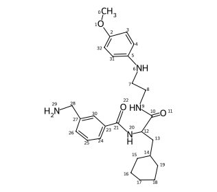 COc1ccc(NCCNC(=O)C(CC2CCCCC2)NC(=O)c2cccc(CN)c2)cc1